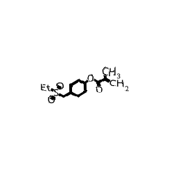 C=C(C)C(=O)OC1CCC(CS(=O)(=O)CC)CC1